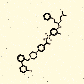 Cc1cc(S(=O)(=O)NC(=O)c2ccc(N3CCN(Cc4ccccc4-c4cccc(Cl)c4)CC3)cc2)ccc1N[C@H](CCN(C)C)CSc1ccccc1